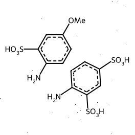 COc1ccc(N)c(S(=O)(=O)O)c1.Nc1ccc(S(=O)(=O)O)cc1S(=O)(=O)O